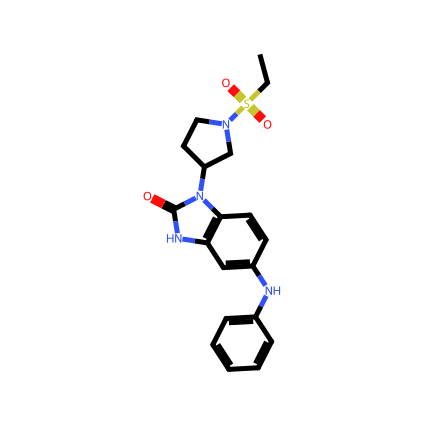 CCS(=O)(=O)N1CCC(n2c(=O)[nH]c3cc(Nc4ccccc4)ccc32)C1